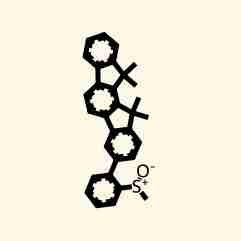 C[S+]([O-])c1ccccc1-c1ccc2c(c1)-c1ccc3c(c1C2(C)C)C(C)(C)c1ccccc1-3